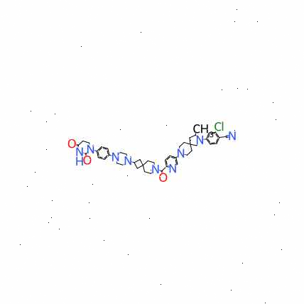 CC1CC2(CCN(c3ccc(C(=O)N4CCC5(CC4)CC(N4CCN(c6ccc(N7CCC(=O)NC7=O)cc6)CC4)C5)nc3)CC2)CN1c1ccc(C#N)c(Cl)c1